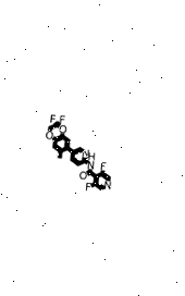 Cc1cc2c(cc1-c1ccc(NC(=O)c3c(F)cncc3F)nc1)OC(F)(F)CO2